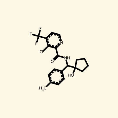 Cc1ccc(C(NC(=O)c2nccc(C(F)(F)F)c2Cl)C2(O)CCCC2)cc1